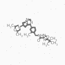 Cc1cc(-c2ncnn3cc(N4C[C@@H](C)O[C@H](C)C4)cc23)ccc1CNC(=O)c1noc(C(C)(C)C)n1